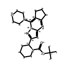 CC(C)(C)OC(=O)N1CCCCC1c1cc2nc3c(c(N4CCOCC4)n2n1)CCC3